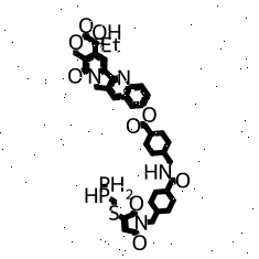 CC[C@@]1(O)C(=O)OCc2c1cc1n(c2=O)Cc2cc3cc(OC(=O)C4CCC(CNC(=O)C5CCC(CN6C(=O)C=C(SCPP)C6=O)CC5)CC4)ccc3nc2-1